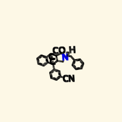 N#Cc1cccc(C23CCC(c4ccccc42)C2(C(=O)O)CN(Cc4ccccc4)CC32)c1